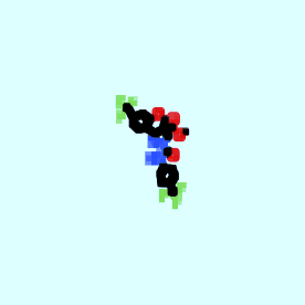 COC(=O)C12COc3cc(C(F)(F)F)ccc3C1=NN(C(=O)Nc1ccc(C(F)(F)F)cc1)C2